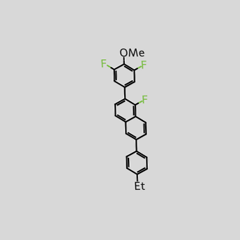 CCc1ccc(-c2ccc3c(F)c(-c4cc(F)c(OC)c(F)c4)ccc3c2)cc1